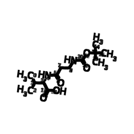 CC(C)[C@H](NC(=O)CCNC(=O)OC(C)(C)C)C(=O)O